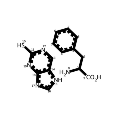 NC(Cc1ccccc1)C(=O)O.Sc1ncc2[nH]cnc2n1